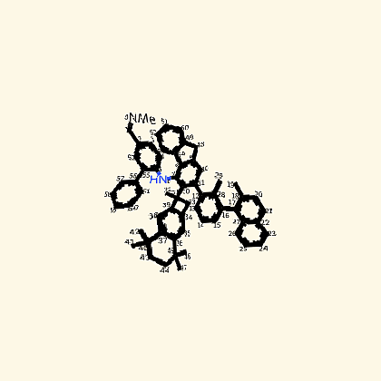 CNCc1ccc(Nc2c3c(cc(-c4cccc(-c5c(C)ccc6ccccc56)c4C)c2C2(C)Cc4cc5c(cc42)C(C)(C)CCC5(C)C)Cc2ccccc2-3)c(-c2ccccc2)c1